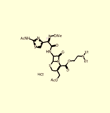 CCN(CC)CCOC(=O)C1=C(COC(C)=O)CSC2C(NC(=O)/C(=N\OC)c3csc(NC(C)=O)n3)C(=O)N12.Cl